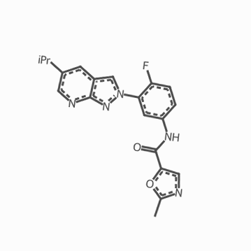 Cc1ncc(C(=O)Nc2ccc(F)c(-n3cc4cc(C(C)C)cnc4n3)c2)o1